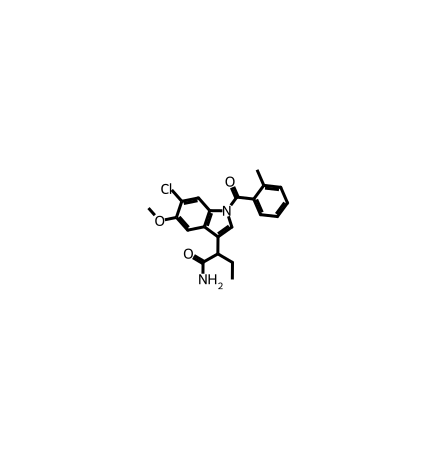 CCC(C(N)=O)c1cn(C(=O)c2ccccc2C)c2cc(Cl)c(OC)cc12